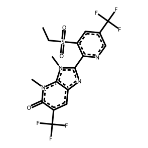 CCS(=O)(=O)c1cc(C(F)(F)F)cnc1-c1nc2cc(C(F)(F)F)c(=O)n(C)c2n1C